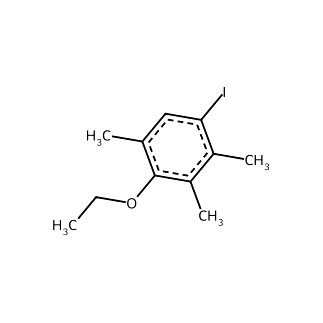 CCOc1c(C)cc(I)c(C)c1C